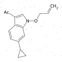 C=CCOn1cc(C(C)=O)c2ccc(C3CC3)cc21